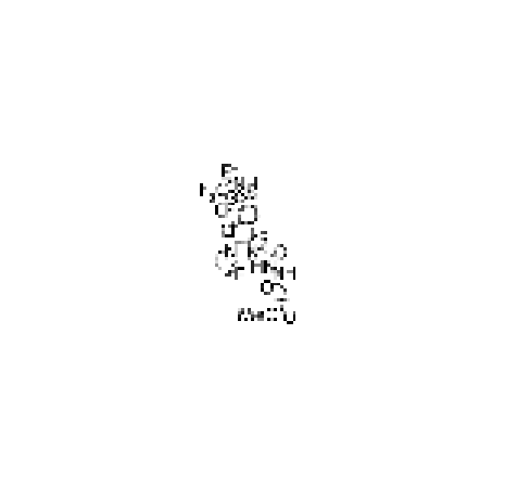 CCC(NS(=O)(=O)c1ccc(-c2sc(C(=O)NNC(=O)CC(C)(C)C(=O)OC)nc2CN2CCCC(F)(F)C2)c(Cl)c1Cl)C(F)(F)F